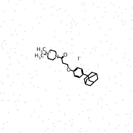 C[N+]1(C)CCN(C(=O)CCOc2ccc(C34CC5CC(CC(C5)C3)C4)cc2)CC1.[I-]